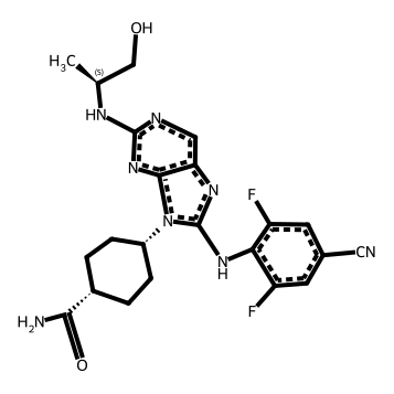 C[C@@H](CO)Nc1ncc2nc(Nc3c(F)cc(C#N)cc3F)n([C@H]3CC[C@@H](C(N)=O)CC3)c2n1